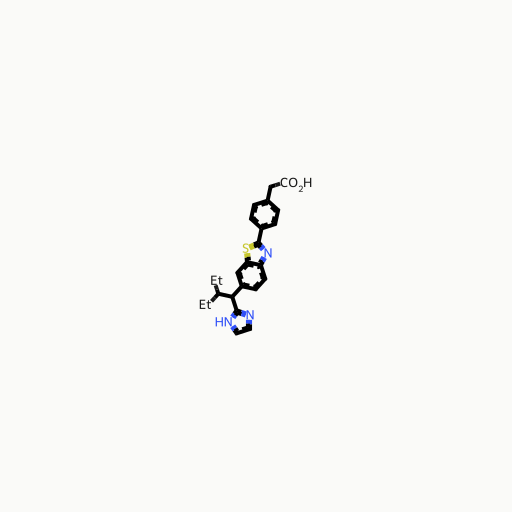 CCC(CC)C(c1ccc2nc(-c3ccc(CC(=O)O)cc3)sc2c1)c1ncc[nH]1